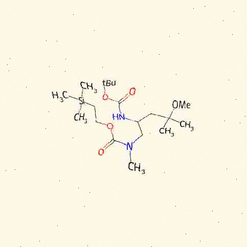 COC(C)(C)CC(CN(C)C(=O)OCC[Si](C)(C)C)NC(=O)OC(C)(C)C